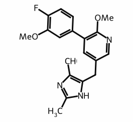 [CH]c1nc(C)[nH]c1Cc1cnc(OC)c(-c2ccc(F)c(OC)c2)c1